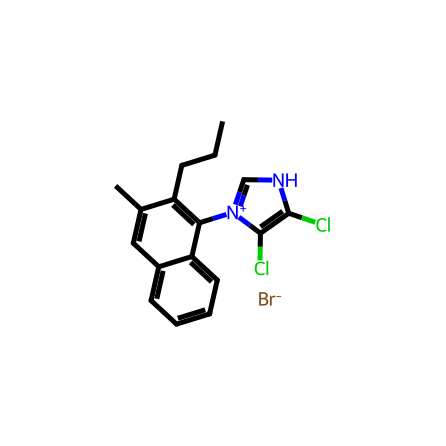 CCCc1c(C)cc2ccccc2c1-[n+]1c[nH]c(Cl)c1Cl.[Br-]